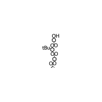 C=C(C)C(=O)Oc1ccc(C(=O)Oc2ccc(OC(=O)c3ccc(O)cc3)c(C(C)(C)C)c2)cc1